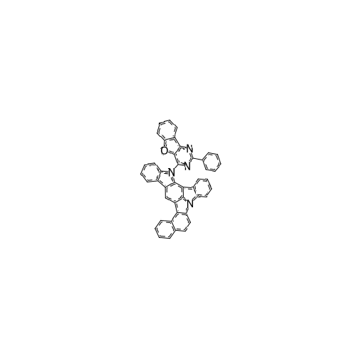 c1ccc(-c2nc(-n3c4ccccc4c4cc5c6c7ccccc7ccc6n6c7ccccc7c(c43)c56)c3oc4ccccc4c3n2)cc1